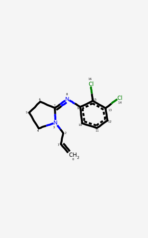 C=CCN1CCC/C1=N/c1cccc(Cl)c1Cl